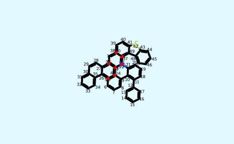 c1ccc(-c2ccccc2-c2c(-c3ccccc3)cccc2N(c2ccc3c(ccc4ccccc43)c2)c2cccc3sc4ccccc4c23)cc1